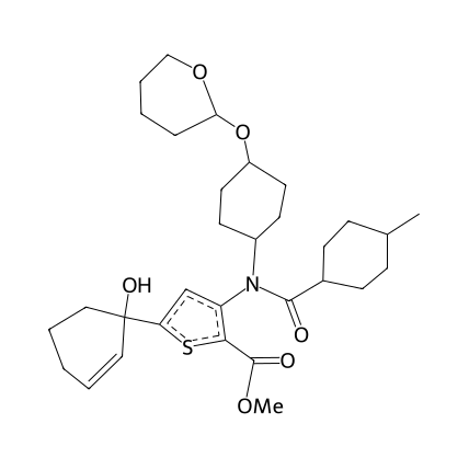 COC(=O)c1sc(C2(O)C=CCCC2)cc1N(C(=O)C1CCC(C)CC1)C1CCC(OC2CCCCO2)CC1